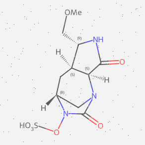 COC[C@@H]1NC(=O)[C@@H]2[C@H]1C[C@@H]1CN2C(=O)N1OS(=O)(=O)O